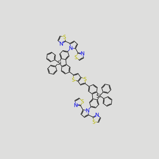 c1ccc([Si]2(c3ccccc3)c3ccc(-c4cc5sc(-c6ccc7c(c6)-c6cc(-n8c(-c9nccs9)ccc8-c8nccs8)ccc6[Si]7(c6ccccc6)c6ccccc6)cc5s4)cc3-c3cc(-n4c(-c5nccs5)ccc4-c4nccs4)ccc32)cc1